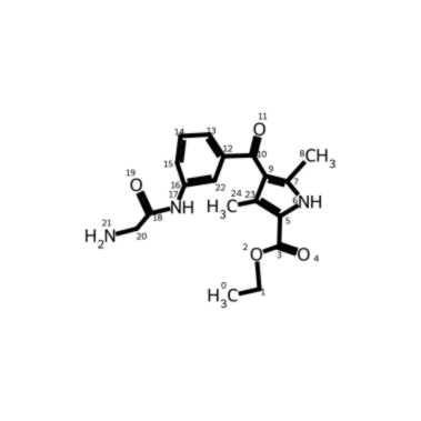 CCOC(=O)c1[nH]c(C)c(C(=O)c2cccc(NC(=O)CN)c2)c1C